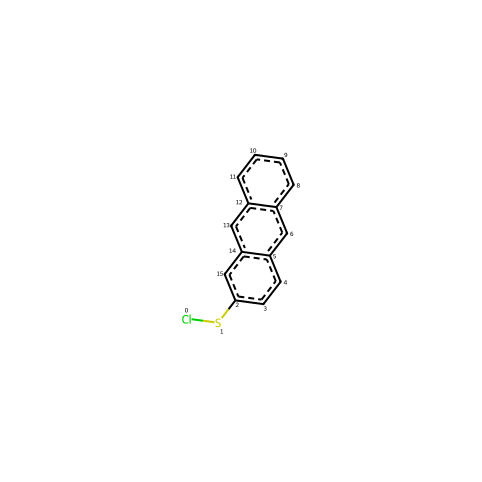 ClSc1ccc2cc3ccccc3cc2c1